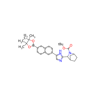 CC(C)(C)OC(=O)N1C2CCC(C2)C1c1ncc(-c2ccc3cc(B4OC(C)(C)C(C)(C)O4)ccc3c2)[nH]1